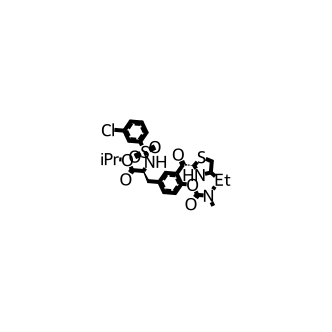 CCC1CS[C@@H](C(=O)c2cc(C[C@H](NS(=O)(=O)c3cccc(Cl)c3)C(=O)OC(C)C)ccc2OC(=O)N(C)C)N1